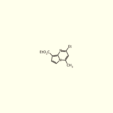 CCOC(=O)c1ccn2c(C)cc(CC)nc12